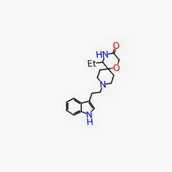 CCC1NC(=O)COC12CCN(CCc1c[nH]c3ccccc13)CC2